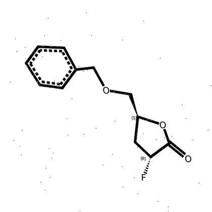 O=C1O[C@H](COCc2ccccc2)C[C@H]1F